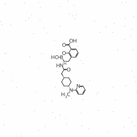 CN(c1ccccn1)[C@H]1CC[C@H](CC(=O)N[C@H]2Cc3cccc(C(=O)O)c3OB2O)CC1